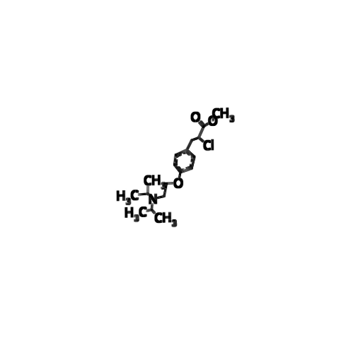 COC(=O)C(Cl)Cc1ccc(OCCN(C(C)C)C(C)C)cc1